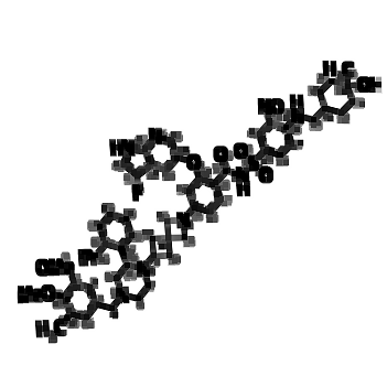 COc1cc(CN2CCN(C3CC4(C3)CN(c3ccc(C(=O)NS(=O)(=O)c5ccc(NCC6CCC(C)(O)CC6)c([N+](=O)[O-])c5)c(Oc5cnc6[nH]cc(F)c6c5)c3)C4)[C@H](c3ccccc3C(C)C)C2)cc(C)c1OC